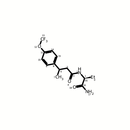 CC[C@H](NC(=O)CC(C)c1ccc(OC(F)(F)F)cc1)C(N)=O